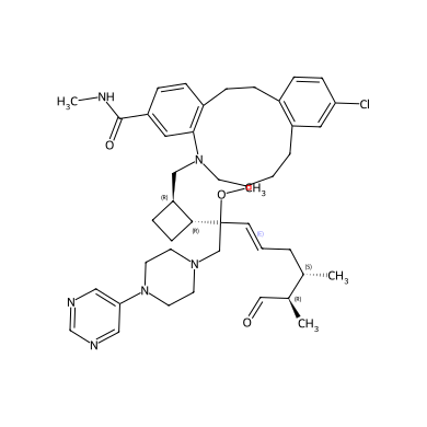 CNC(=O)c1ccc2c(c1)N(C[C@@H]1CC[C@H]1C(/C=C/C[C@H](C)[C@@H](C)C=O)(CN1CCN(c3cncnc3)CC1)OC)CCCCc1cc(Cl)ccc1CC2